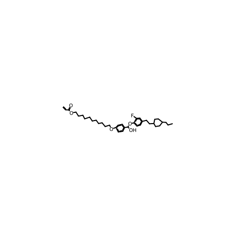 C=CC(=O)OCCCCCCCCCCCOc1ccc(C(O)Oc2ccc(CCC3CCC(CCC)CC3)cc2F)cc1